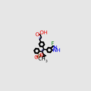 CS(=O)(=O)c1ccccc1/C(=C(\c1ccc(/C=C/C(=O)O)cc1)c1ccc2[nH]nc(F)c2c1)C1CC1